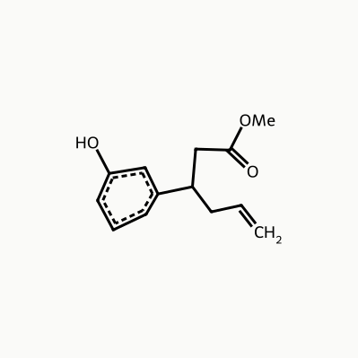 C=CCC(CC(=O)OC)c1cccc(O)c1